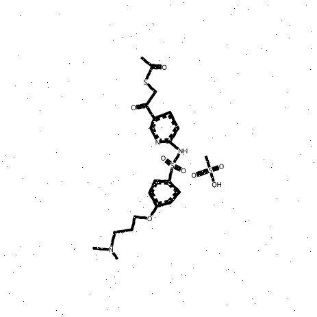 CC(=O)SCC(=O)c1ccc(NS(=O)(=O)c2ccc(OCCCN(C)C)cc2)nc1.CS(=O)(=O)O